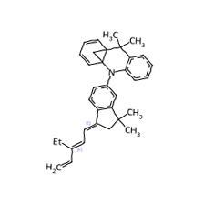 C=C/C(=C/C=C1\CC(C)(C)c2cc(N3c4ccccc4C(C)(C)C45C=CC=CC34C5)ccc21)CC